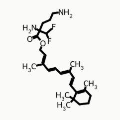 CC(C=CC1=C(C)CCCC1(C)C)=CC=CC(C)=CCOC(=O)C(N)(CCCN)C(F)F